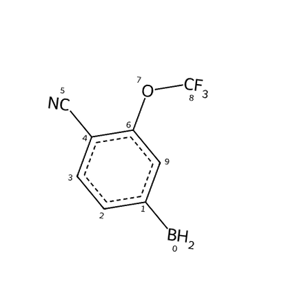 Bc1ccc(C#N)c(OC(F)(F)F)c1